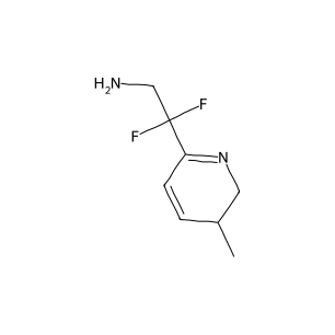 CC1C=CC(C(F)(F)CN)=NC1